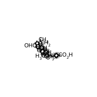 C=C(C)[C@@H]1CC[C@]2(C=O)CC[C@]3(C)[C@H](CC[C@@H]4[C@@]5(C)CCN(C(=O)/C=C/c6ccc(C(=O)O)cc6)C(C)(C)[C@@H]5CC[C@]43C)[C@@H]12